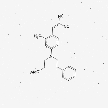 [C-]#[N+]C(=Cc1ccc(N(CCOC)CCc2ccccc2)cc1C)[N+]#[C-]